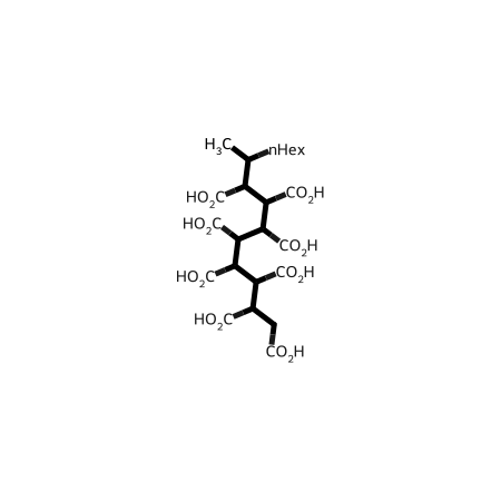 CCCCCCC(C)C(C(=O)O)C(C(=O)O)C(C(=O)O)C(C(=O)O)C(C(=O)O)C(C(=O)O)C(CC(=O)O)C(=O)O